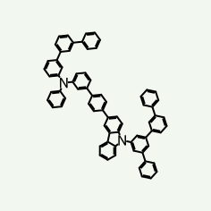 c1ccc(-c2cccc(-c3cccc(N(c4ccccc4)c4cccc(-c5ccc(-c6ccc7c(c6)c6ccccc6n7-c6cc(-c7ccccc7)cc(-c7cccc(-c8ccccc8)c7)c6)cc5)c4)c3)c2)cc1